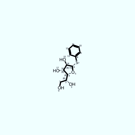 OC[C@@H](O)[C@H]1O[C@@H](Sc2ccccc2)[C@H](O)[C@H]1O